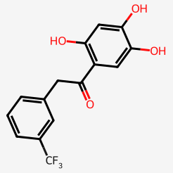 O=C(Cc1cccc(C(F)(F)F)c1)c1cc(O)c(O)cc1O